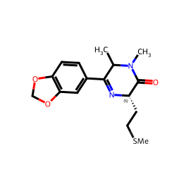 CSCC[C@@H]1N=C(c2ccc3c(c2)OCO3)C(C)N(C)C1=O